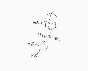 CC(=O)NC12CC3CC(C1)CC([C@H](N)C(=O)N1CCC(C)C1C)(C3)C2